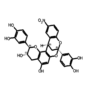 O=[N+]([O-])c1ccc2c(c1)[C@H]1C[C@@](c3ccc(O)c(O)c3)(O2)Oc2cc(O)c3c(c21)O[C@H](c1ccc(O)c(O)c1)[C@@H](O)C3